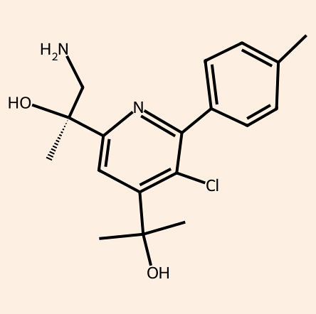 Cc1ccc(-c2nc([C@@](C)(O)CN)cc(C(C)(C)O)c2Cl)cc1